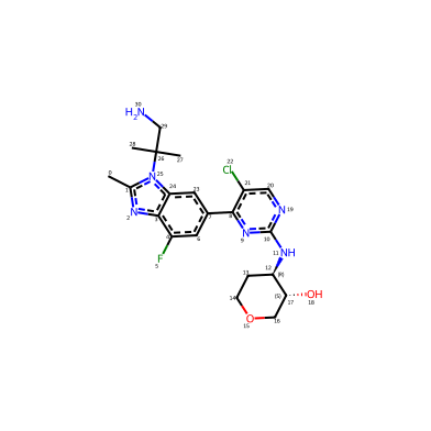 Cc1nc2c(F)cc(-c3nc(N[C@@H]4CCOC[C@H]4O)ncc3Cl)cc2n1C(C)(C)CN